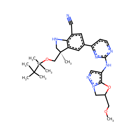 COCC1Cn2ncc(Nc3nccc(-c4cc(C#N)c5c(c4)[C@@](C)(CO[Si](C)(C)C(C)(C)C)CN5)n3)c2O1